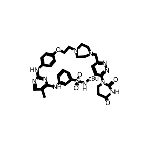 Cc1cnc(Nc2ccc(OCCN3CCN(Cc4ccc(N5CCC(=O)NC5=O)nn4)CC3)cc2)nc1Nc1cccc(S(=O)(=O)NC(C)(C)C)c1